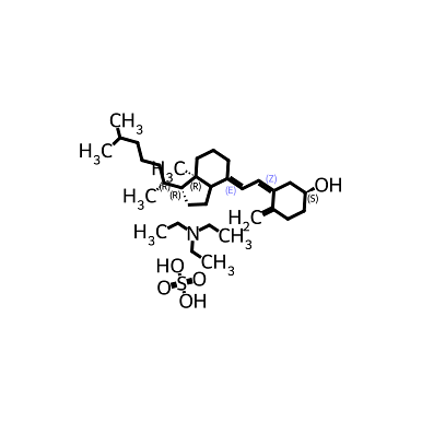 C=C1CC[C@H](O)C/C1=C/C=C1\CCC[C@@]2(C)C1CC[C@@H]2[C@H](C)CCCC(C)C.CCN(CC)CC.O=S(=O)(O)O